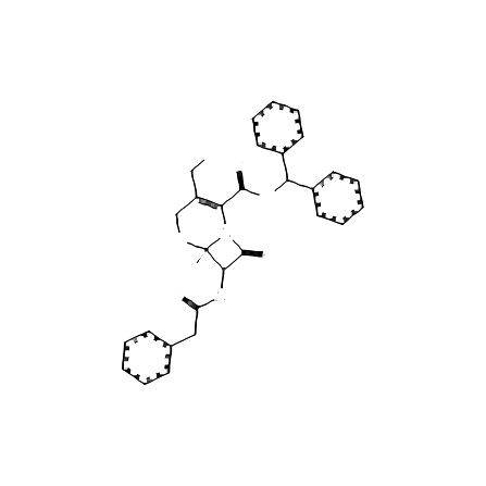 O=C(Cc1ccccc1)NC1C(=O)N2C(C(=O)OC(c3ccccc3)c3ccccc3)=C(CO)CS[C@@H]12